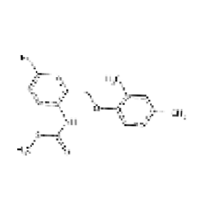 CSC(=O)Nc1ccc(Br)cc1COc1ccc(C)cc1C